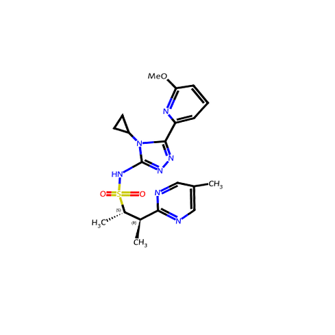 COc1cccc(-c2nnc(NS(=O)(=O)[C@@H](C)[C@H](C)c3ncc(C)cn3)n2C2CC2)n1